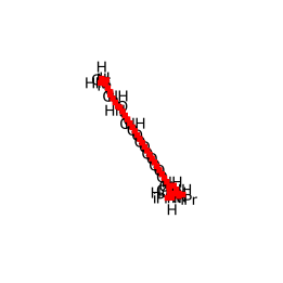 CC(C)[C@@H](CO)Nc1nc(Nc2ccc(C(=O)NCCOCCOCCOCCOCCOCCOCCOCCOCCOCCNC(=O)CCCCCNC(=O)CCCCCNC(=O)CCCC[C@@H]3SC[C@@H]4NC(=O)N[C@@H]43)c(Cl)c2)c2ncn(C(C)C)c2n1